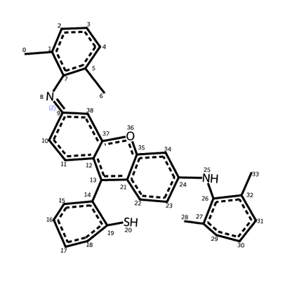 Cc1cccc(C)c1/N=c1/ccc2c(-c3ccccc3S)c3ccc(Nc4c(C)cccc4C)cc3oc-2c1